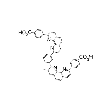 CC1C=c2ccc3ccc(-c4ccc(C(=O)O)cc4)nc3c2=N[C@H]1C1C=C(c2ccc3ccc4ccc(-c5ccc(C(=O)O)cc5)nc4c3n2)C=CC1